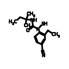 CCc1cc(C#N)ccc1N(S)C(=O)NC(C)(C)CC